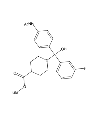 CC(=O)Nc1ccc(C(O)(c2cccc(F)c2)N2CCC(C(=O)OC(C)(C)C)CC2)cc1